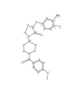 COc1ccc(C(=O)C2CCN(C3CCN(Cc4ccc(Cl)c(N)c4)C3=O)CC2)cc1